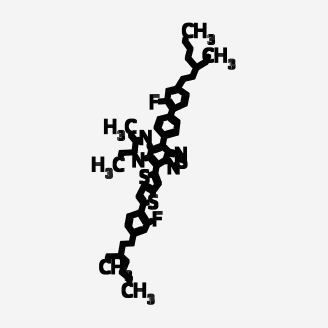 CCCCC(CC)CCc1ccc(-c2ccc(-c3c4nsnc4c(-c4cc5sc(-c6ccc(CCC(CC)CCCC)cc6F)cc5s4)c4nc(CC)c(CC)nc34)cc2)c(F)c1